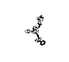 Cn1cc(-c2ccccc2)nc1C#Cc1nc(N2CCOCC2)c2cnn(CC3CN(C(=O)OC(C)(C)C)C3)c2n1